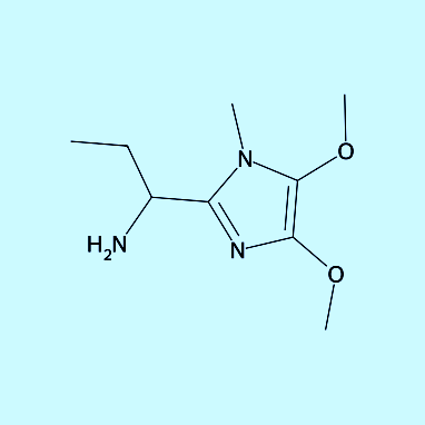 CCC(N)c1nc(OC)c(OC)n1C